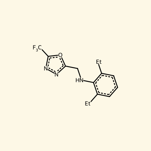 CCc1cccc(CC)c1NCc1nnc(C(F)(F)F)o1